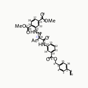 C=Cc1ccc(COC(=O)c2cccc(NC(=O)/C(=N/Nc3cc(C(=O)OC)ccc3C(=O)OC)C(C)=O)c2)cc1